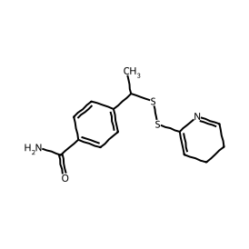 CC(SSC1=CCCC=N1)c1ccc(C(N)=O)cc1